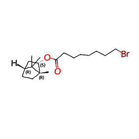 CC1(C)[C@@H]2CC[C@@]1(C)[C@@H](OC(=O)CCCCCCCBr)C2